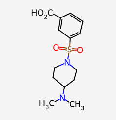 CN(C)C1CCN(S(=O)(=O)c2cccc(C(=O)O)c2)CC1